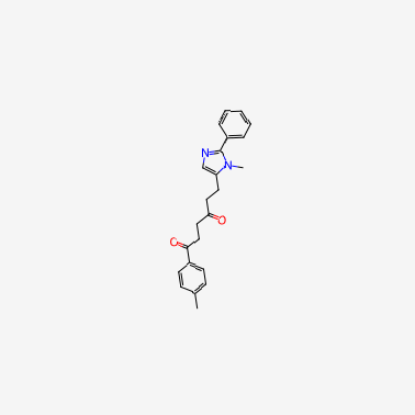 Cc1ccc(C(=O)CCC(=O)CCc2cnc(-c3ccccc3)n2C)cc1